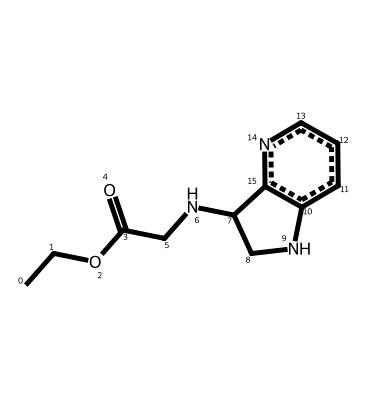 CCOC(=O)CNC1CNc2cccnc21